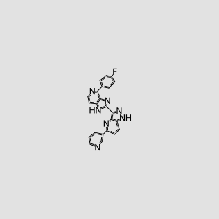 Fc1ccc(-c2nccc3[nH]c(-c4n[nH]c5ccc(-c6cccnc6)nc45)nc23)cc1